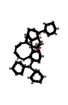 C=C1/C=C\C=C/Cc2c(N(c3ccccc3)c3ccccc3)cccc2C12c1ccccc1-c1c(-c3ccccc3)cccc12